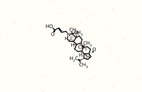 C=C(C)[C@@H]1CC[C@]2(C=O)CC[C@]3(C)[C@H](CC[C@@H]4[C@@]5(C)CCN(CC=CC(=O)O)C(C)(C)[C@@H]5CC[C@]43C)[C@@H]12